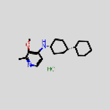 COc1c(N[C@H]2CC[C@@H](C3CCCCC3)CC2)ccnc1C.Cl